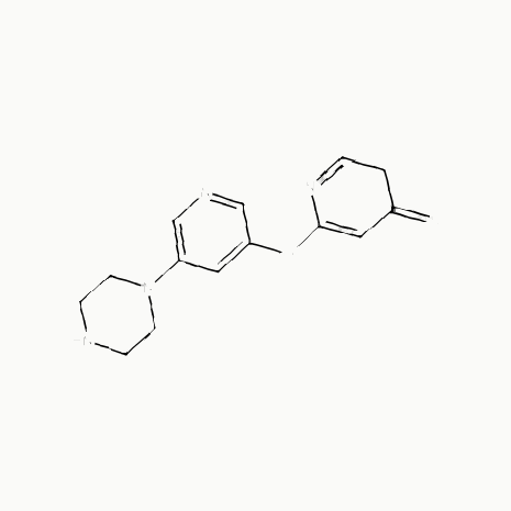 S=C1C=C(Oc2cncc(N3CCNCC3)c2)N=CC1